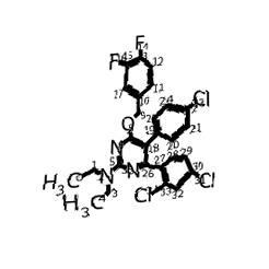 CCN(CC)c1nc(OCc2ccc(F)c(F)c2)c(-c2ccc(Cl)cc2)c(-c2ccc(Cl)cc2Cl)n1